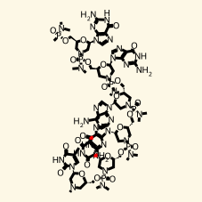 Cc1cn([C@H]2CN(C)C[C@@H](COP(=O)(N(C)C)N3C[C@@H](COP(=O)(N(C)C)N4C[C@@H](COP(=O)(N(C)C)N5C[C@@H](COP(=O)(N(C)C)N6C[C@@H](COP(=O)(N(C)C)N7C[C@@H](COP(C)(=O)N(C)C)O[C@@H](n8cnc9c(=O)[nH]c(N)nc98)C7)O[C@@H](n7cnc8c(=O)[nH]c(N)nc87)C6)O[C@@H](n6cnc7c(N)ncnc76)C5)O[C@@H](n5cnc6c(=O)[nH]c(N)nc65)C4)O[C@@H](n4cc(C)c(=O)[nH]c4=O)C3)O2)c(=O)[nH]c1=O